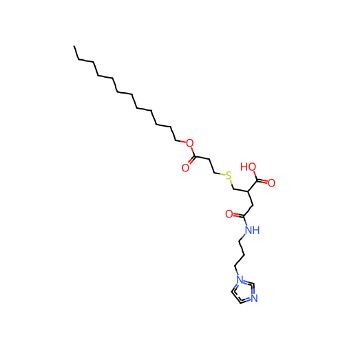 CCCCCCCCCCCCOC(=O)CCSCC(CC(=O)NCCCn1ccnc1)C(=O)O